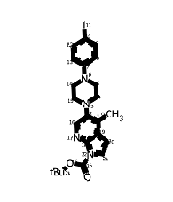 Cc1c(N2CCN(c3ccc(I)cc3)CC2)cnc2c1ccn2C(=O)OC(C)(C)C